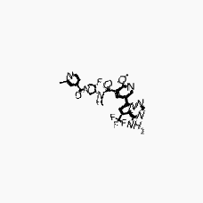 COc1ncc(-c2cc(C(F)(F)F)c3c(N)ncnn23)cc1C(=O)N[C@@H]1CN(C(=O)c2ccnc(C)c2)C[C@@H]1F